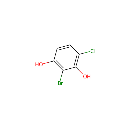 Oc1ccc(Cl)c(O)c1Br